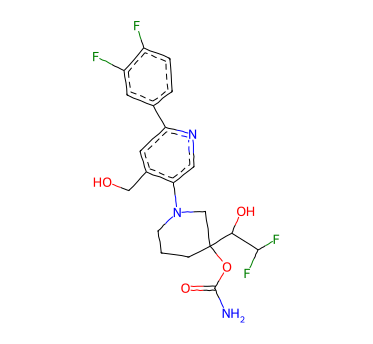 NC(=O)OC1(C(O)C(F)F)CCCN(c2cnc(-c3ccc(F)c(F)c3)cc2CO)C1